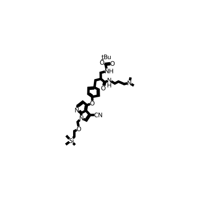 CN(C)CCCNC(=O)C(CNC(=O)OC(C)(C)C)Cc1ccc(Oc2ccnc3c2c(C#N)cn3COCC[Si](C)(C)C)cc1